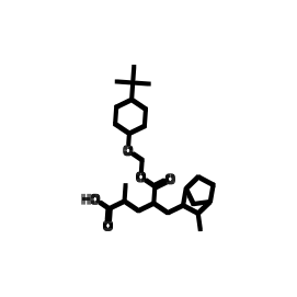 CC(CC(CC1C2CCC(C2)C1C)C(=O)OCOC1CCC(C(C)(C)C)CC1)C(=O)O